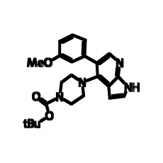 COc1cccc(-c2cnc3[nH]ccc3c2N2CCN(C(=O)OC(C)(C)C)CC2)c1